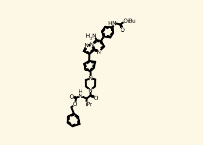 CC(C)COC(=O)Nc1ccc(-c2cnc3c(-c4ccc(N5CCN(C(=O)C(NC(=O)OCc6ccccc6)C(C)C)CC5)cc4)cnn3c2N)cc1